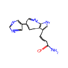 NC(=O)/C=C/c1c[nH]c2ncc(-c3cncnc3)cc12